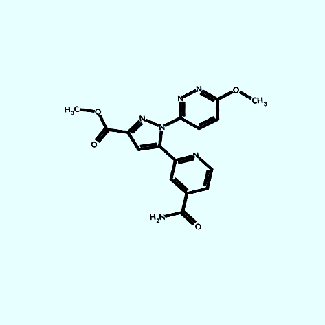 COC(=O)c1cc(-c2cc(C(N)=O)ccn2)n(-c2ccc(OC)nn2)n1